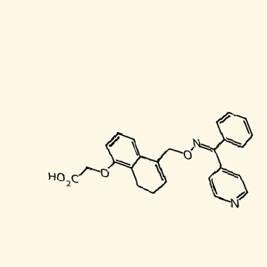 O=C(O)COc1cccc2c1CCC=C2CO/N=C(/c1ccccc1)c1ccncc1